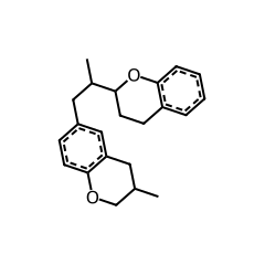 CC1COc2ccc(CC(C)C3CCc4ccccc4O3)cc2C1